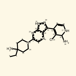 CCC1(N)CCN(c2cnc3c(C4=C(Cl)C(N)NC=C4)n[nH]c3n2)CC1